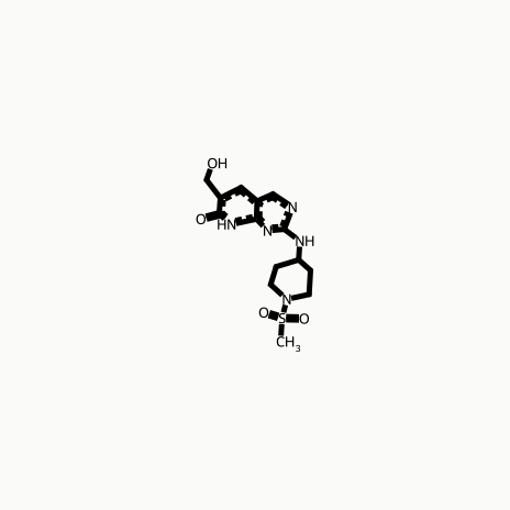 CS(=O)(=O)N1CCC(Nc2ncc3cc(CO)c(=O)[nH]c3n2)CC1